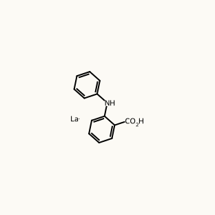 O=C(O)c1ccccc1Nc1ccccc1.[La]